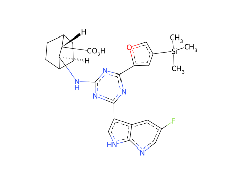 C[Si](C)(C)c1coc(-c2nc(N[C@H]3C4CCC(CC4)[C@@H]3C(=O)O)nc(-c3c[nH]c4ncc(F)cc34)n2)c1